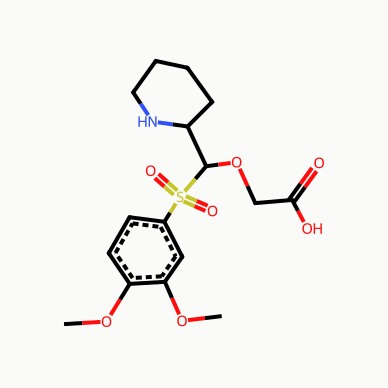 COc1ccc(S(=O)(=O)C(OCC(=O)O)C2CCCCN2)cc1OC